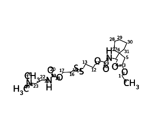 CCOC(=O)CC1(CNC(=O)OCCSSCCOC(=O)NCCN(C)C)CCCCC1